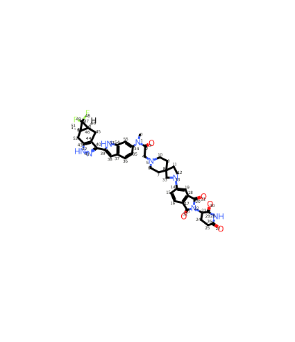 CN(C(=O)CN1CCC2(CC1)CCN(c1ccc3c(c1)C(=O)N(C1CCC(=O)NC1=O)C3=O)C2)c1ccc2cc(-c3n[nH]c4c3C[C@@H]3C(F)(F)[C@]3(C)C4)[nH]c2c1